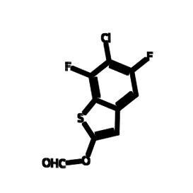 O=COc1cc2cc(F)c(Cl)c(F)c2s1